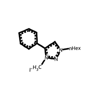 CCCCCCn1cc(-c2ccccc2)[n+](C)n1.[I-]